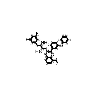 CCc1cccc(CN(C[C@@H](O)[C@@H](N)Cc2cc(F)cc(F)c2)C(=O)c2cccc(Oc3ccccc3)c2)c1